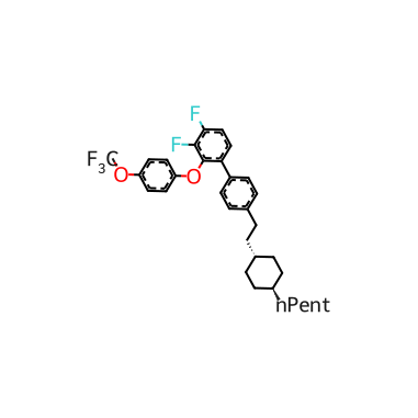 CCCCC[C@H]1CC[C@H](CCc2ccc(-c3ccc(F)c(F)c3Oc3ccc(OC(F)(F)F)cc3)cc2)CC1